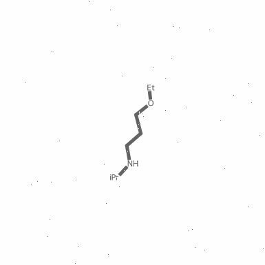 CCOCCCNC(C)C